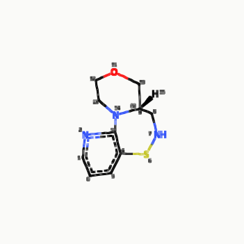 c1cnc2c(c1)SNC[C@H]1COCCN21